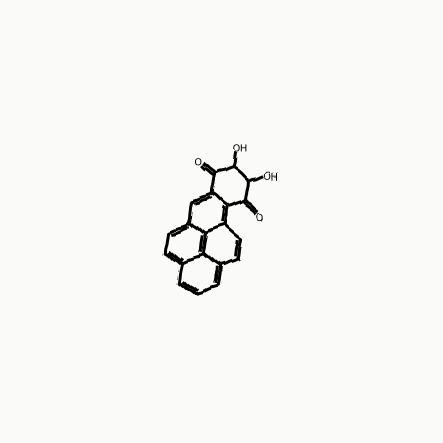 O=C1c2cc3ccc4cccc5ccc(c2C(=O)C(O)C1O)c3c45